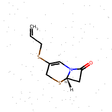 C=CCSC1=CN2C(=O)C[C@@H]2SC1